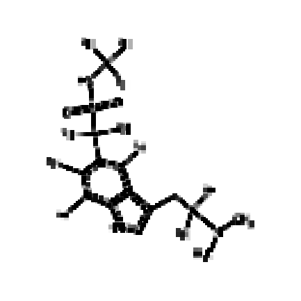 [2H]c1c(C([2H])([2H])S(=O)(=O)NC([2H])([2H])[2H])c([2H])c2c(CC([2H])([2H])N(C)C)c[nH]c2c1[2H]